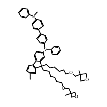 Cc1ccc2c(c1)C(CCCCCCOCC1(C)COC1)(CCCCCCOCC1(C)COC1)c1cc(N(c3ccccc3)c3ccc(-c4ccc(N(C)c5ccccc5)cc4)cc3)ccc1-2